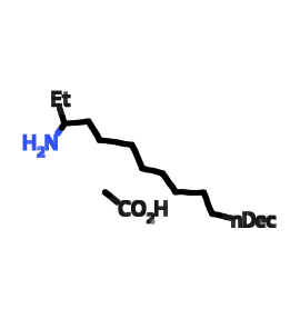 CC(=O)O.CCCCCCCCCCCCCCCCCCC(N)CC